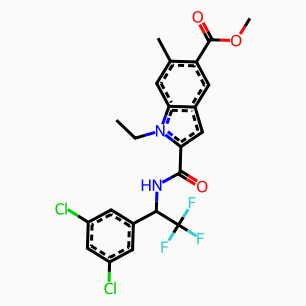 CCn1c(C(=O)NC(c2cc(Cl)cc(Cl)c2)C(F)(F)F)cc2cc(C(=O)OC)c(C)cc21